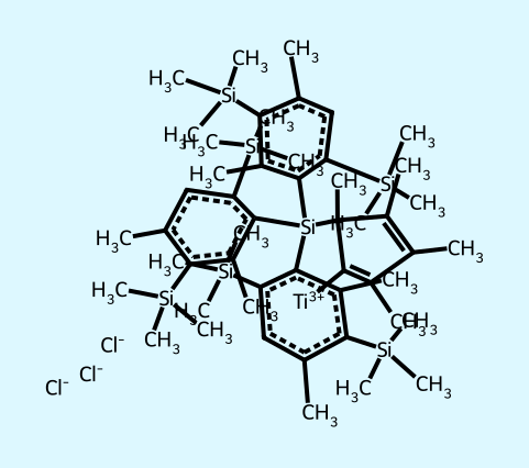 CC1=C(C)C(C)([Si](c2c([Si](C)(C)C)cc(C)c([Si](C)(C)C)c2C)(c2c([Si](C)(C)C)cc(C)c([Si](C)(C)C)c2C)c2c([Si](C)(C)C)cc(C)c([Si](C)(C)C)c2C)[C]([Ti+3])=C1C.[Cl-].[Cl-].[Cl-]